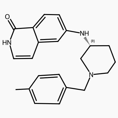 Cc1ccc(CN2CCC[C@@H](Nc3ccc4c(=O)[nH]ccc4c3)C2)cc1